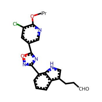 CC(C)Oc1ncc(-c2nc(-c3cccc4c(CCC=O)c[nH]c34)no2)cc1Cl